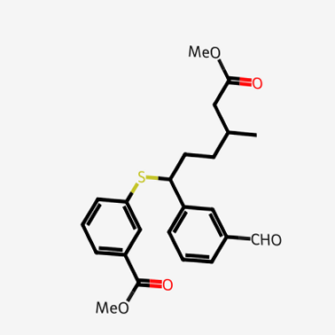 COC(=O)CC(C)CCC(Sc1cccc(C(=O)OC)c1)c1cccc(C=O)c1